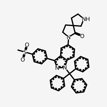 CS(=O)(=O)c1ccc(-c2nn(C(c3ccccc3)(c3ccccc3)c3ccccc3)c3ccc(N4CCC5(CCNC5)C4=O)cc23)cc1